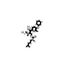 Cc1nc(/C(N)=C(\COC(=O)N(C)CCCC(C)F)N(C)N)ccc1OC1CCCCC1